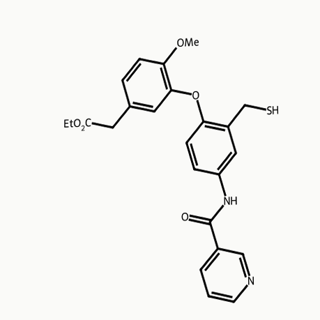 CCOC(=O)Cc1ccc(OC)c(Oc2ccc(NC(=O)c3cccnc3)cc2CS)c1